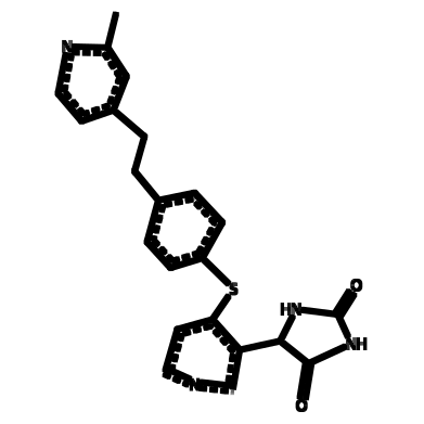 Cc1cc(CCc2ccc(Sc3ccncc3C3NC(=O)NC3=O)cc2)ccn1